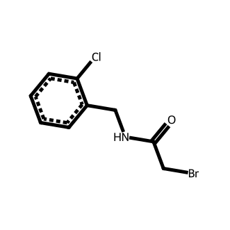 O=C(CBr)NCc1ccccc1Cl